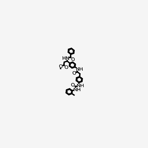 COC(=O)CC(NC(=O)c1ccccc1)c1ccc(NC(=O)Cc2ccc(NC(=O)Nc3ccccc3C)cc2)cc1